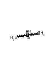 CCCCCCCCCNC(=S)NCCCCCCCC